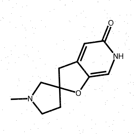 CN1CCC2(Cc3cc(=O)[nH]cc3O2)C1